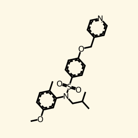 COc1ccc(C)c(N(CC(C)C)S(=O)(=O)c2ccc(OCc3ccncc3)cc2)c1